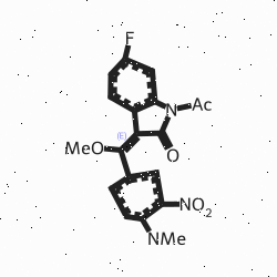 CNc1ccc(/C(OC)=C2\C(=O)N(C(C)=O)c3cc(F)ccc32)cc1[N+](=O)[O-]